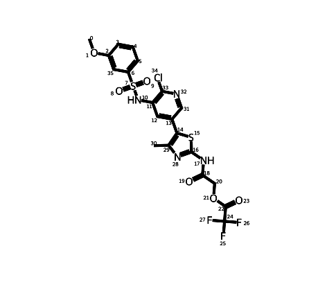 COc1cccc(S(=O)(=O)Nc2cc(-c3sc(NC(=O)COC(=O)C(F)(F)F)nc3C)cnc2Cl)c1